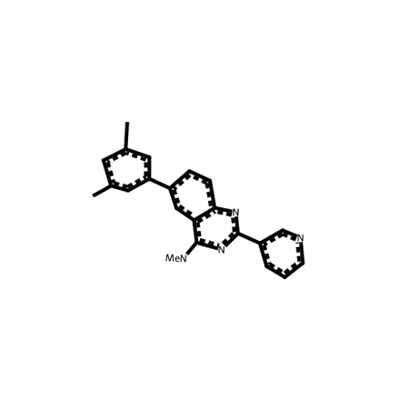 CNc1nc(-c2cccnc2)nc2ccc(-c3cc(C)cc(C)c3)cc12